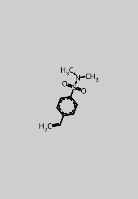 C=Cc1ccc(S(=O)(=O)N(C)C)cc1